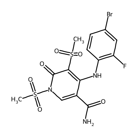 CS(=O)(=O)c1c(Nc2ccc(Br)cc2F)c(C(N)=O)cn(S(C)(=O)=O)c1=O